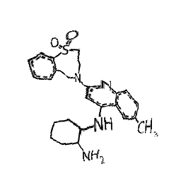 Cc1ccc2nc(N3CCS(=O)(=O)c4ccccc4C3)cc(NC3CCCCC3N)c2c1